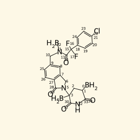 BC1CC(B)(N2Cc3cc(CN(B)C(=O)C(F)(F)c4ccc(Cl)cc4)ccc3C2=O)C(=O)NC1=O